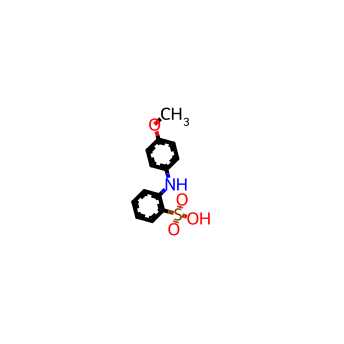 COc1ccc(Nc2ccccc2S(=O)(=O)O)cc1